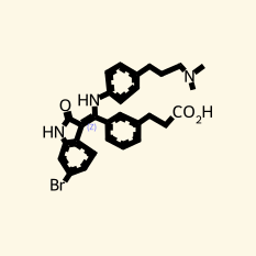 CN(C)CCCc1ccc(N/C(=C2\C(=O)Nc3cc(Br)ccc32)c2cccc(CCC(=O)O)c2)cc1